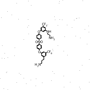 NCCCc1cc(Oc2ccc(S(=O)(=O)c3ccc(Oc4cc(NCCN)cc(C(F)(F)F)c4)cc3)cc2)cc(C(F)(F)F)c1